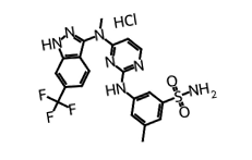 Cc1cc(Nc2nccc(N(C)c3n[nH]c4cc(C(F)(F)F)ccc34)n2)cc(S(N)(=O)=O)c1.Cl